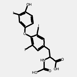 O=C(O)NC(Cc1cc(I)c(Oc2ccc(O)c(I)c2)c(I)c1)C(=O)O